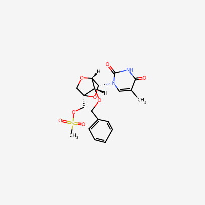 Cc1cn([C@@H]2O[C@@]3(COS(C)(=O)=O)CO[C@H]2[C@@H]3OCc2ccccc2)c(=O)[nH]c1=O